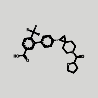 O=C(O)c1ccc(C(F)(F)F)c(-c2ccc([C@@H]3CC34CCN(C(=O)C3CCCO3)CC4)cc2)c1